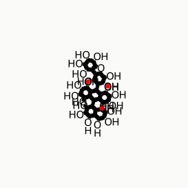 Oc1c(O)c(O)c2c(oc3c(O)c(O)c(-c4c5c(O)c(O)c(O)c(O)c5c(-c5c(O)c(O)c(O)c6c(O)c(O)c(O)c(O)c56)c5c(O)c(O)c(O)c(O)c45)c(O)c32)c1O